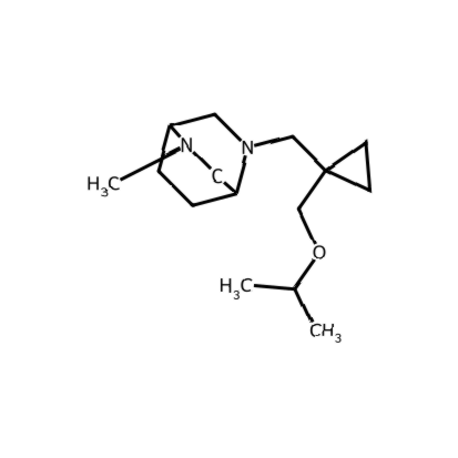 CC(C)OCC1(CN2CC3CCC2CN3C)CC1